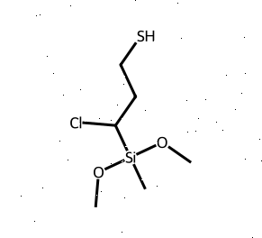 CO[Si](C)(OC)C(Cl)CCS